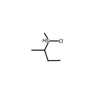 CCC(C)[SiH](C)Cl